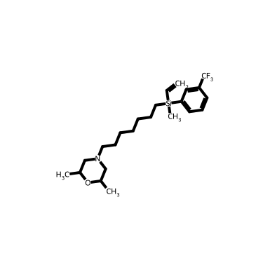 C=C[Si](C)(CCCCCCCN1CC(C)OC(C)C1)c1cccc(C(F)(F)F)c1